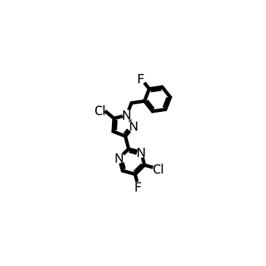 Fc1ccccc1Cn1nc(-c2ncc(F)c(Cl)n2)cc1Cl